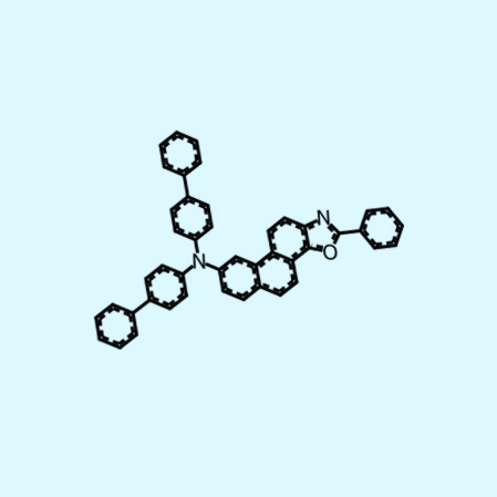 c1ccc(-c2ccc(N(c3ccc(-c4ccccc4)cc3)c3ccc4ccc5c(ccc6nc(-c7ccccc7)oc65)c4c3)cc2)cc1